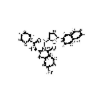 O=C(Nc1nc2cc(Br)ccc2c(=O)n1CC1CC[C@@H](c2ccc3ccccc3c2)O1)c1ccccc1